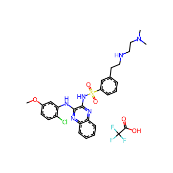 COc1ccc(Cl)c(Nc2nc3ccccc3nc2NS(=O)(=O)c2cccc(CCNCCN(C)C)c2)c1.O=C(O)C(F)(F)F